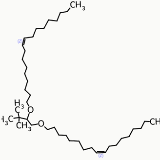 CCCCCCCC/C=C\CCCCCCCCOCC(OCCCCCCCC/C=C\CCCCCCCC)C(C)(C)C